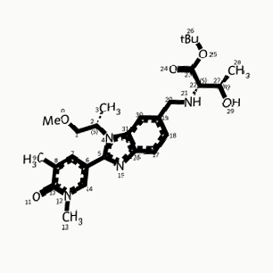 COC[C@H](C)n1c(-c2cc(C)c(=O)n(C)c2)nc2ccc(CN[C@H](C(=O)OC(C)(C)C)[C@@H](C)O)cc21